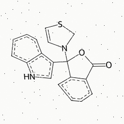 O=C1OC(c2c[nH]c3ccccc23)(N2C=CSC2)c2ccccc21